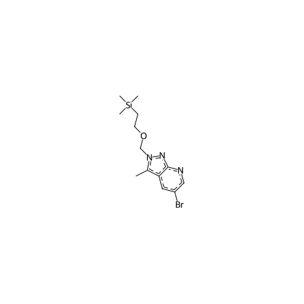 Cc1c2cc(Br)cnc2nn1COCC[Si](C)(C)C